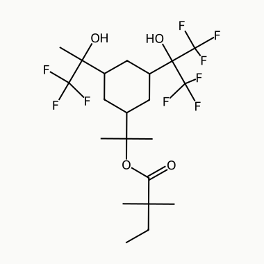 CCC(C)(C)C(=O)OC(C)(C)C1CC(C(C)(O)C(F)(F)F)CC(C(O)(C(F)(F)F)C(F)(F)F)C1